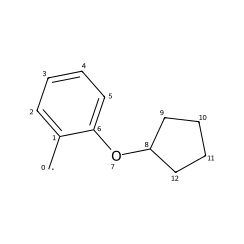 [CH2]c1ccccc1OC1CCCC1